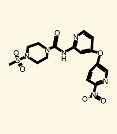 CS(=O)(=O)N1CCN(C(=O)Nc2cc(Oc3ccc([N+](=O)[O-])nc3)ccn2)CC1